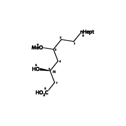 CCCCCCCCCC(C[C@H](O)CC(=O)O)OC